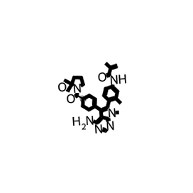 C=C(C)C(=O)Nc1ccc(-c2c(C3=CC[C@H](C(=O)N4CCCC45COC5)CC3)c3c(N)ncnc3n2C)c(C)c1